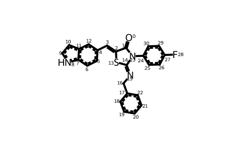 O=C1/C(=C/c2ccc3[nH]ccc3c2)S/C(=N\Cc2ccccc2)N1c1ccc(F)cc1